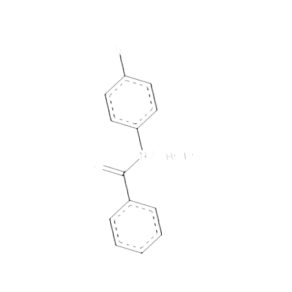 [B+2]c1ccc(NC(=O)c2ccccc2)cc1.[OH-].[OH-]